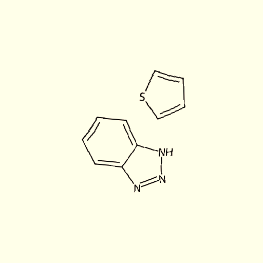 c1ccc2[nH]nnc2c1.c1ccsc1